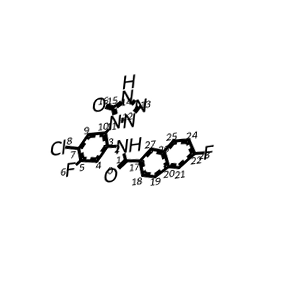 O=C(Nc1cc(F)c(Cl)cc1-n1nn[nH]c1=O)c1ccc2cc(F)ccc2c1